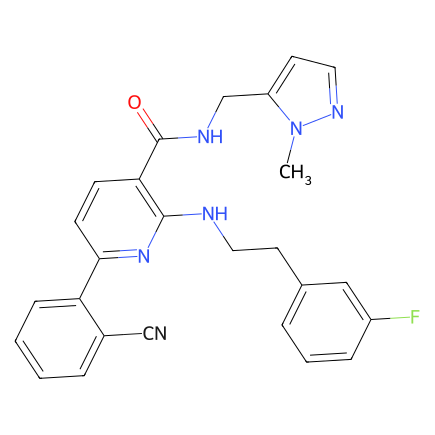 Cn1nccc1CNC(=O)c1ccc(-c2ccccc2C#N)nc1NCCc1cccc(F)c1